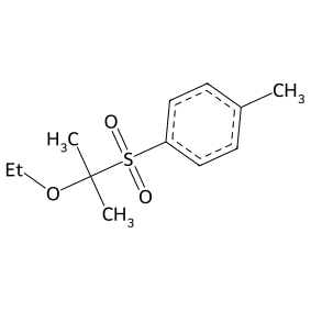 CCOC(C)(C)S(=O)(=O)c1ccc(C)cc1